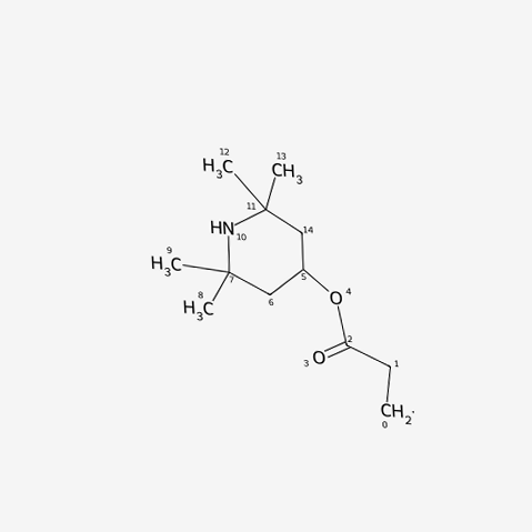 [CH2]CC(=O)OC1CC(C)(C)NC(C)(C)C1